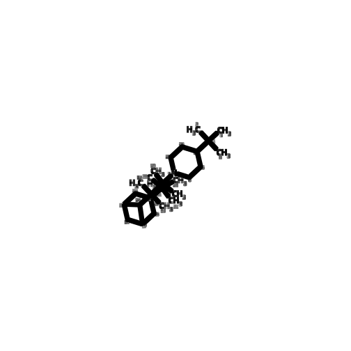 CC(C)(C)C1CCN(C(C)(C)C(C)(C)C2C3CC2CN(C(C)(C)C)C3)CC1